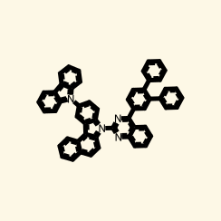 c1ccc(-c2ccc(-c3nc(-n4c5ccc(-n6c7ccccc7c7ccccc76)cc5c5c6ccccc6ccc54)nc4ccccc34)cc2-c2ccccc2)cc1